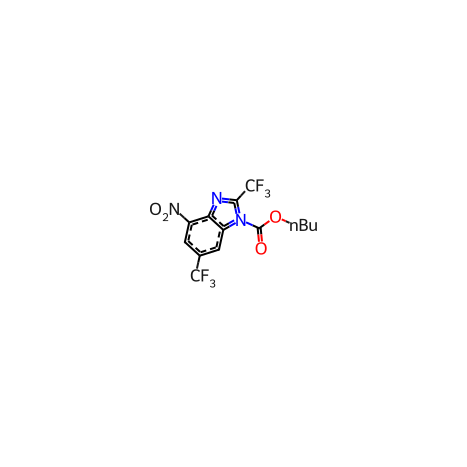 CCCCOC(=O)n1c(C(F)(F)F)nc2c([N+](=O)[O-])cc(C(F)(F)F)cc21